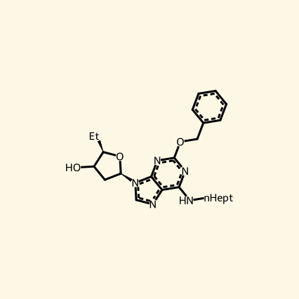 CCCCCCCNc1nc(OCc2ccccc2)nc2c1ncn2[C@H]1CC(O)[C@@H](CC)O1